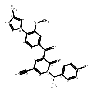 COc1cc(C(=O)c2cc(C#N)cn([C@@H](C)c3ccc(F)cc3)c2=O)ccc1-n1cnc(C)c1